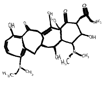 CN(C)c1ccc(O)c2c1CC1C(=C(O)C3(O)C(=O)C(C(N)=O)C(O)C(N(C)C)C3C1O)C2=O